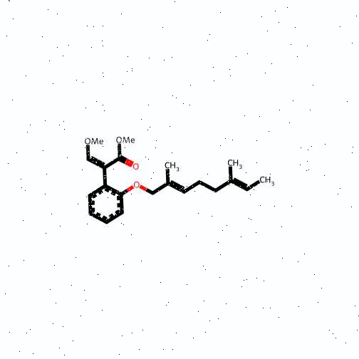 C/C=C(\C)CC/C=C(\C)COc1ccccc1/C(=C/OC)C(=O)OC